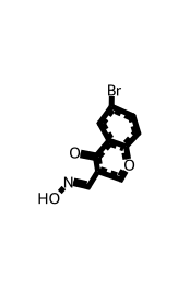 O=c1c(C=NO)coc2ccc(Br)cc12